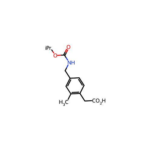 Cc1cc(CNC(=O)OC(C)C)ccc1CC(=O)O